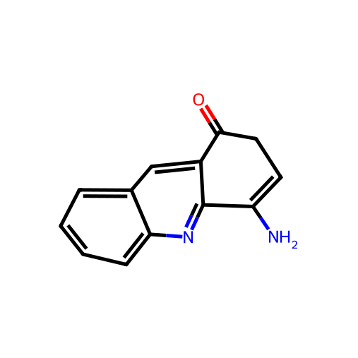 NC1=CCC(=O)c2cc3ccccc3nc21